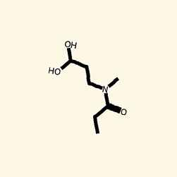 CCC(=O)N(C)CCC(O)O